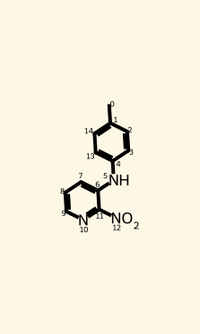 Cc1ccc(Nc2cccnc2[N+](=O)[O-])cc1